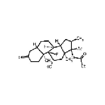 CCC(=O)O[C@@]1(C(C)=O)[C@H](C)C[C@H]2[C@@H]3CC[C@H]4CC(=O)CC[C@]4(C)[C@@]3(F)[C@@H](O)C[C@@]21C